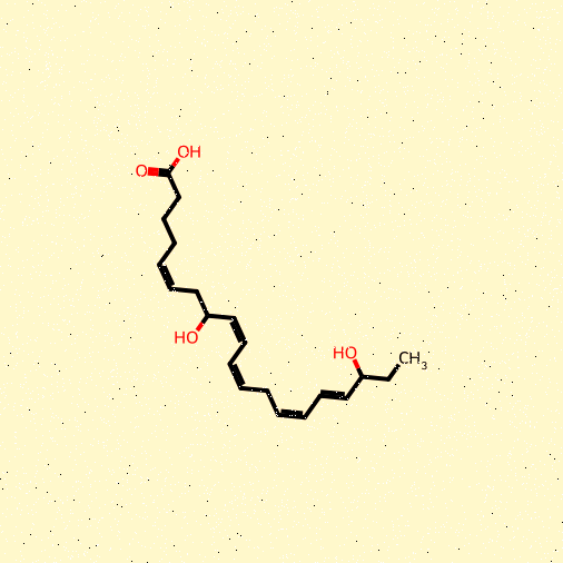 CCC(O)/C=C/C=C\C/C=C\C=C/C(O)C/C=C\CCCC(=O)O